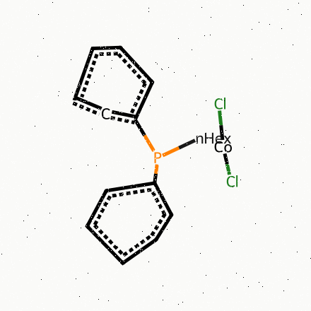 CCCCCCP(c1ccccc1)c1ccccc1.[Cl][Co][Cl]